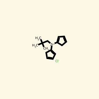 CC(C)(C)[CH2][Zr+]([C]1=CC=CC1)[C]1=CC=CC1.[Cl-]